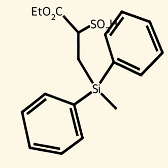 CCOC(=O)C(C[Si](C)(c1ccccc1)c1ccccc1)S(=O)(=O)O